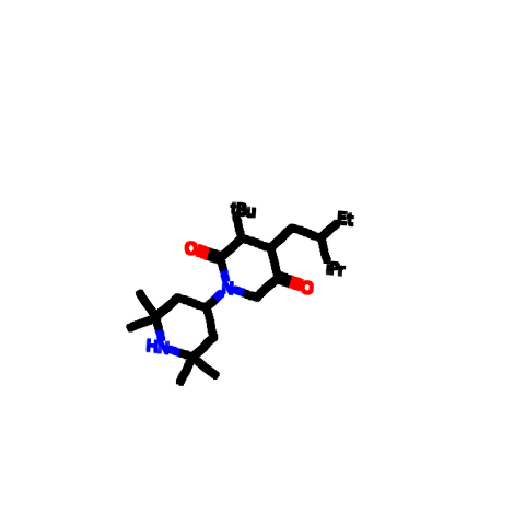 CCC(CC1C(=O)CN(C2CC(C)(C)NC(C)(C)C2)C(=O)C1C(C)(C)C)C(C)C